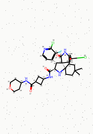 CC1(C)CCC2(CC1)N[C@@H](C(=O)NC1CC(C(=O)NC3CCOCC3)C1)[C@H](c1ccnc(Cl)c1F)[C@]21C(=O)Nc2cc(Cl)ccc21